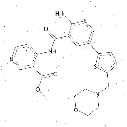 COC(=O)c1cnccc1NC(=O)c1cc(-c2ccc(CN3CCOCC3)s2)cnc1N